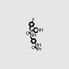 CC(C)C(=O)Nc1ccc(CNC(=O)N(Cc2ccc(F)cc2)C2CCNCC2)cc1